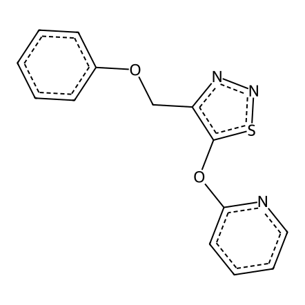 c1ccc(OCc2nnsc2Oc2ccccn2)cc1